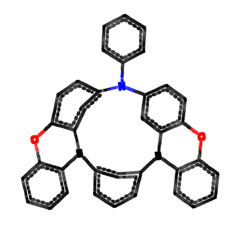 c1ccc(N2c3ccc4c(c3)B(c3cccc(c3)B3c5ccccc5Oc5ccc2cc53)c2ccccc2O4)cc1